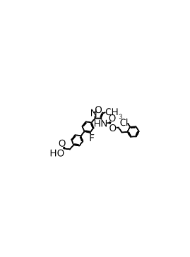 Cc1onc(-c2ccc(-c3ccc(CC(=O)O)cc3)c(F)c2)c1NC(=O)OCCc1ccccc1Cl